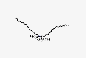 CCCCCCCCCCCCCCCC/C(C(=O)O)=C(\CCCCCCCCCCCCCCCC)C(=O)O